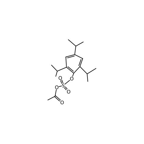 CC(=O)OS(=O)(=O)Oc1c(C(C)C)cc(C(C)C)cc1C(C)C